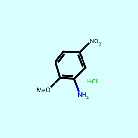 COc1ccc([N+](=O)[O-])cc1N.Cl